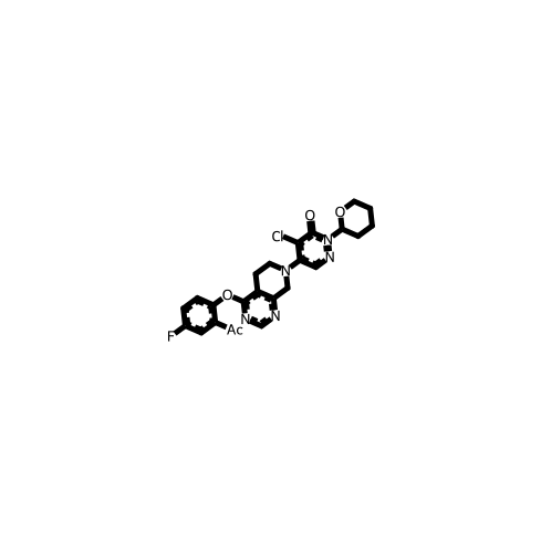 CC(=O)c1cc(F)ccc1Oc1ncnc2c1CCN(c1cnn(C3CCCCO3)c(=O)c1Cl)C2